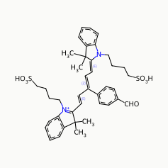 CC1(C)C(/C=C/C(=C/C=C2/N(CCCCS(=O)(=O)O)c3ccccc3C2(C)C)c2ccc(C=O)cc2)=[N+](CCCCS(=O)(=O)O)c2ccccc21